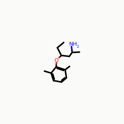 CCC(CC(C)N)Oc1c(C)cccc1C